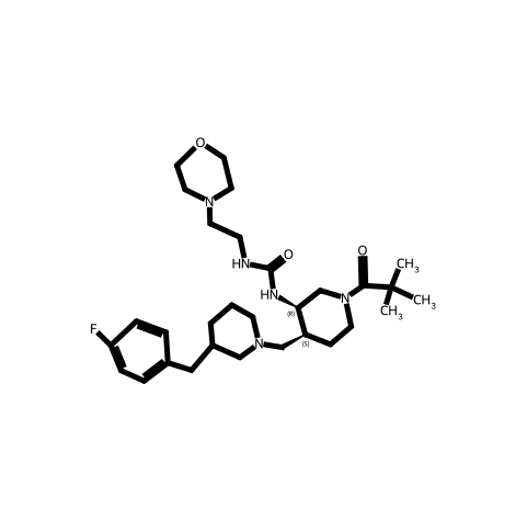 CC(C)(C)C(=O)N1CC[C@@H](CN2CCCC(Cc3ccc(F)cc3)C2)[C@@H](NC(=O)NCCN2CCOCC2)C1